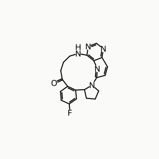 O=C1CCCNc2ncnc3ccc(nc23)N2CCCC2c2cc(F)ccc21